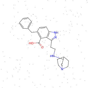 O=C(O)c1c(Cc2ccccc2)ccc2[nH]nc(CCNC3CN4CCC3CC4)c12